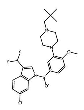 COc1ccc([S+]([O-])n2cc(C(F)F)c3ccc(Cl)cc32)cc1N1CCN(CC(C)(C)C)CC1